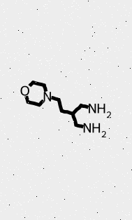 NCC(CN)CCN1CCOCC1